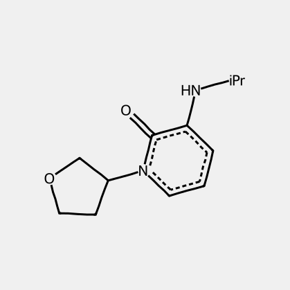 CC(C)Nc1cccn(C2CCOC2)c1=O